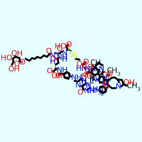 CC[C@]1(O)CC2CC[C@](C(=O)OC)(c3cc4c(cc3OC)N(C)[C@H]3[C@@](O)(C(=O)NNC(=O)OCCSSC[C@@H](NC(=O)[C@H](CNC(=O)CCCCCCCCO[C@@H]5C[C@@H](O)C(O)C(CO)O5)NC(=O)CC[C@H](NC(=O)c5ccc(NCc6cnc7nc(N)[nH]c(=O)c7n6)cc5)C(=O)O)C(=O)O)[C@H](O)[C@]5(CC)C=CCN6CC[C@]43[C@@H]65)c3[nH]c4ccccc4c3CCN(C2)C1